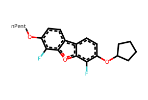 CCCCCOc1ccc2c(oc3c(F)c(OC4CCCC4)ccc32)c1F